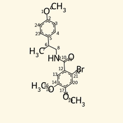 COc1ccc(C(C)CNC(=O)c2cc(OC)c(OC)cc2Br)cc1